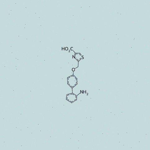 Nc1ccccc1-c1ccc(OCc2nc(C(=O)O)cs2)cc1